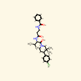 CC(C)[C@@H](NC(=O)CCNC(=O)c1ccccc1)C(=O)N1CCC(c2ccc(Cl)cc2)C(C)(C)C1